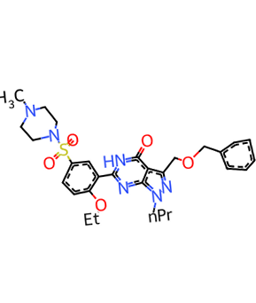 CCCn1nc(COCc2ccccc2)c2c(=O)[nH]c(-c3cc(S(=O)(=O)N4CCN(C)CC4)ccc3OCC)nc21